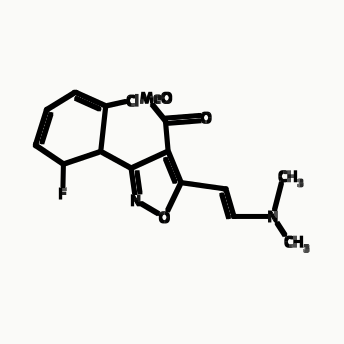 COC(=O)c1c(C2C(Cl)=CC=CC2F)noc1/C=C/N(C)C